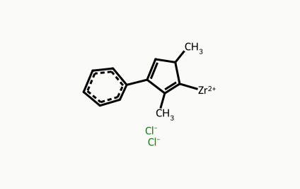 CC1=[C]([Zr+2])C(C)C=C1c1ccccc1.[Cl-].[Cl-]